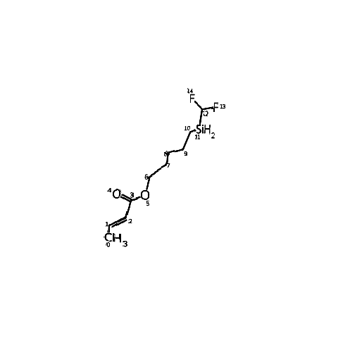 CC=CC(=O)OCCCCC[SiH2]C(F)F